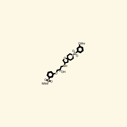 CNS(=O)(=O)c1cccc(OC[C@@H](O)CNC2COC3(CCN(S(=O)(=O)c4cccc(OC)c4)CC3)C2)c1